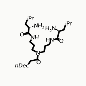 CCCCCCCCCCCC(=O)N(CCCNC(=O)[C@@H](N)CC(C)C)CCCNC(=O)[C@@H](N)CC(C)C